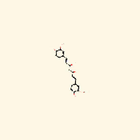 COc1cc(/C=C/C(=O)CC(=O)/C=C/c2ccc(O)c(OC)c2)ccc1O.[Sn]